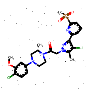 COc1cc(N2CCN(C(=O)Cn3nc(-c4cccc(S(C)(=O)=O)n4)c(Cl)c3C)[C@@H](C)C2)ccc1Cl